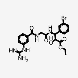 CCOC(=O)C(O)C(NC(=O)CNC(=O)c1cccc(NC(=N)N)c1)c1cccc(Br)c1